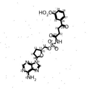 Nc1ncnc2c1ncn2[C@H]1CC[C@@H](COS(=O)(=O)NC(=O)CCC(=O)c2cccc(C(=O)O)c2)O1